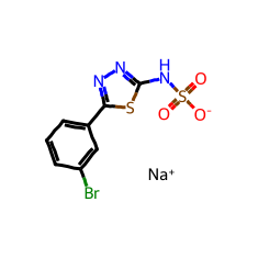 O=S(=O)([O-])Nc1nnc(-c2cccc(Br)c2)s1.[Na+]